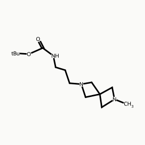 CN1CC2(C1)CN(CCCNC(=O)OC(C)(C)C)C2